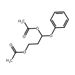 CC(=O)OCCC(OC(C)=O)Oc1ccccc1